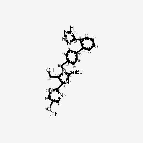 CCCCc1nc(-c2ncc(OCC)cn2)c(CO)n1Cc1ccc(-c2ccccc2-c2nnn[nH]2)cc1